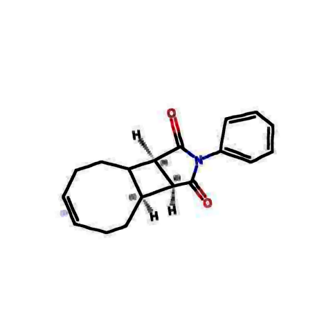 O=C1[C@@H]2[C@H](C(=O)N1c1ccccc1)C1CC/C=C\CC[C@@H]12